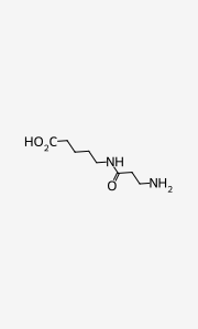 NCCC(=O)NCCCCC(=O)O